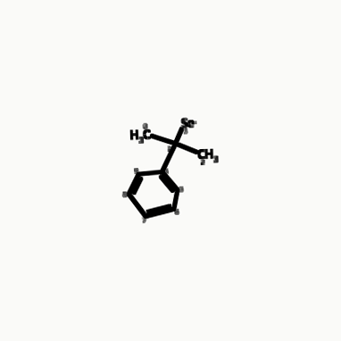 CC(C)([Se])c1ccccc1